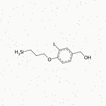 OCc1ccc(OCCC[SiH3])c(I)c1